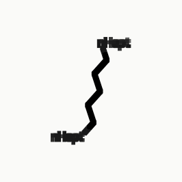 [CH]CCCCCCCCCCCCCCCCCC